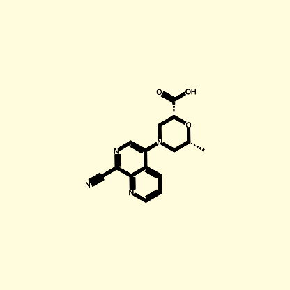 C[C@@H]1CN(c2cnc(C#N)c3ncccc23)C[C@H](C(=O)O)O1